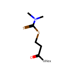 CCCCCCC(=O)CCSC(=S)N(C)C